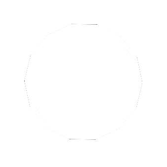 [CH]1CC=CCCCCCC=CCCC1